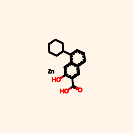 O=C(O)c1cc2cccc(C3CCCCC3)c2cc1O.[Zn]